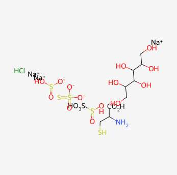 Cl.NC(CS)C(=O)O.O=S(O)S(=O)(=O)O.O=S([O-])([O-])=S.O=S([O-])O.OCC(O)C(O)C(O)C(O)CO.[Na+].[Na+].[Na+]